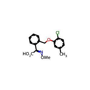 CON=C(C(=O)O)c1ccccc1COc1cc(C)ccc1Cl